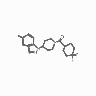 Cc1ccc2c(cnn2C2CCN(C(=O)C3CCC(F)(F)CC3)CC2)c1